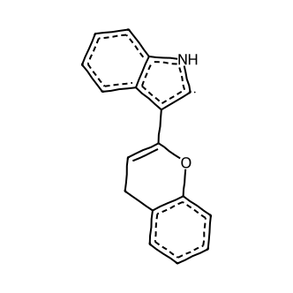 [c]1[nH]c2ccccc2c1C1=CCc2ccccc2O1